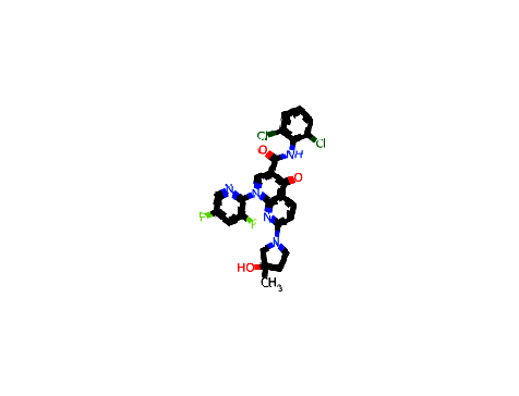 CC1(O)CCN(c2ccc3c(=O)c(C(=O)Nc4c(Cl)cccc4Cl)cn(-c4ncc(F)cc4F)c3n2)C1